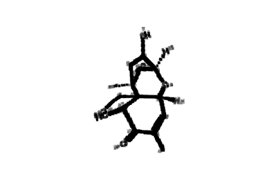 CC1=C[C@H]2O[C@@H]3C(O)C[C@@](C)([C@]34CO4)[C@@]2(CO)C(O)C1=O